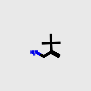 C=C(CN)C(C)(C)C